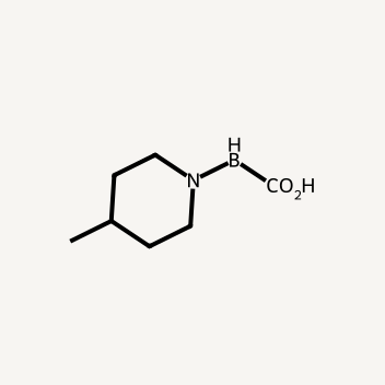 CC1CCN(BC(=O)O)CC1